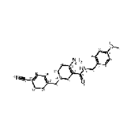 COc1ccc(CNC(=O)C2=C(N)CCN(CC3=CC=C(C#N)CC3)C2)cc1